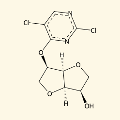 O[C@@H]1CO[C@H]2[C@@H]1OC[C@H]2Oc1nc(Cl)ncc1Cl